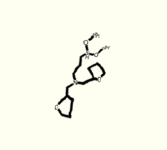 CCCO[SiH](CCCN(CC1CCCO1)CC1CCCO1)OCCC